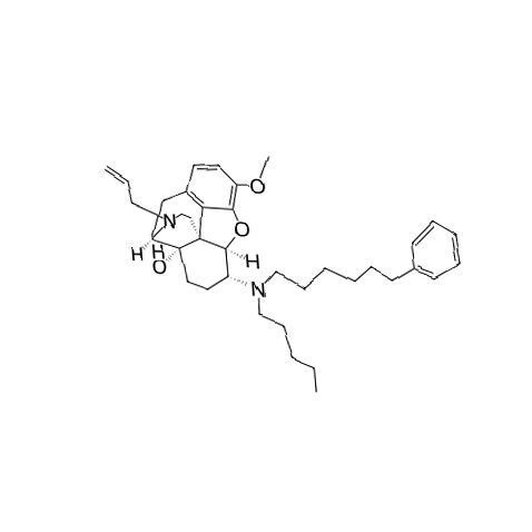 C=CCN1CC[C@]23c4c5ccc(OC)c4O[C@H]2[C@H](N(CCCCC)CCCCCCc2ccccc2)CC[C@@]3(O)[C@H]1C5